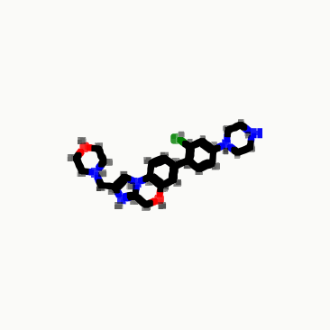 Clc1cc(N2CCNCC2)ccc1-c1ccc2c(c1)OCc1nc(CN3CCOCC3)cn1-2